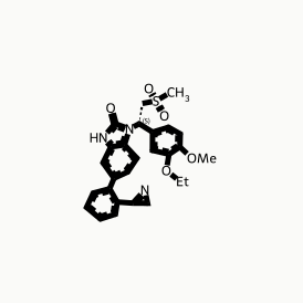 CCOc1cc([C@@H](CS(C)(=O)=O)n2c(=O)[nH]c3cc(-c4ccccc4C4=NC4)ccc32)ccc1OC